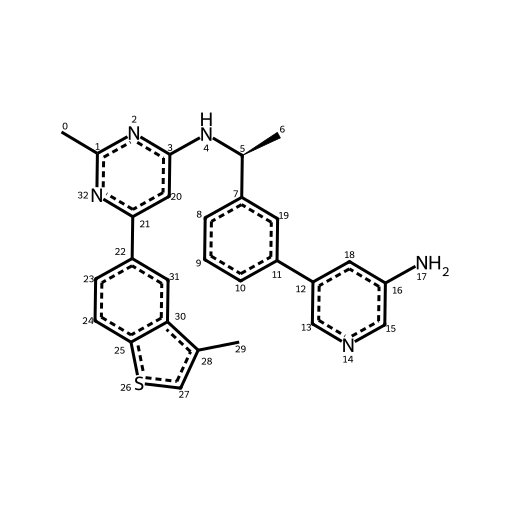 Cc1nc(N[C@@H](C)c2cccc(-c3cncc(N)c3)c2)cc(-c2ccc3scc(C)c3c2)n1